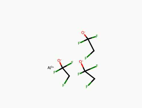 [Al+3].[O-]C(F)(F)CF.[O-]C(F)(F)CF.[O-]C(F)(F)CF